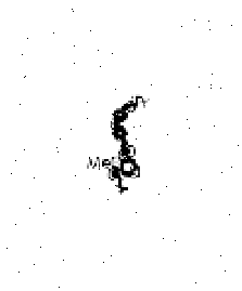 CO[C@H]1[C@H](C2(C)OC2CC=C(C)C)CCOCCC[C@H]1OC(=O)/C=C/c1ccc(Oc2ccc(COC(C)C)cc2)cc1